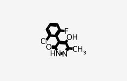 Cc1n[nH]c(=O)c(-c2c(F)cccc2Cl)c1O